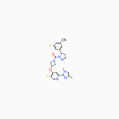 Cc1cn(C)c(-c2cc(OC3CN(C(=O)N4N=CCC4c4cc(F)cc(C#N)c4)C3)c(F)cn2)n1